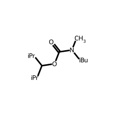 CCC(C)N(C)C(=O)OC(C(C)C)C(C)C